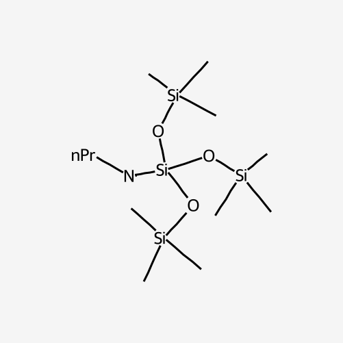 CCC[N][Si](O[Si](C)(C)C)(O[Si](C)(C)C)O[Si](C)(C)C